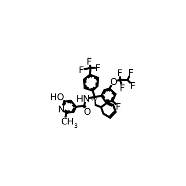 Cc1cc(C(=O)N[C@](CC2C=CC=CC2)(c2ccc(C(F)(F)F)cc2)c2cc(F)cc(OC(F)(F)C(F)F)c2)cc(O)n1